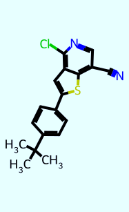 CC(C)(C)c1ccc(-c2cc3c(Cl)ncc(C#N)c3s2)cc1